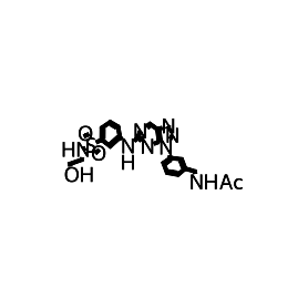 CC(=O)NCc1cccc(-n2nnc3cnc(Nc4cccc(S(=O)(=O)NCCO)c4)nc32)c1